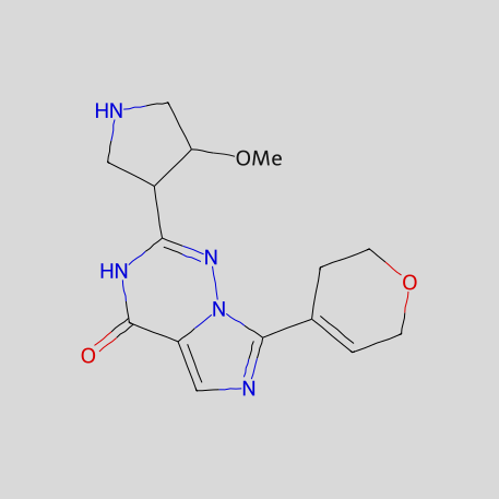 COC1CNCC1c1nn2c(C3=CCOCC3)ncc2c(=O)[nH]1